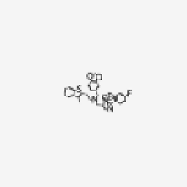 CCCCn1c(CN(CCc2sc3ccccc3c2C)Cc2ccc3c(c2)OCO3)cnc1-c1ccc(F)cc1